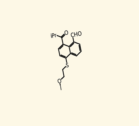 CC(C)C(=O)c1ccc(SCCOI)c2cccc(C=O)c12